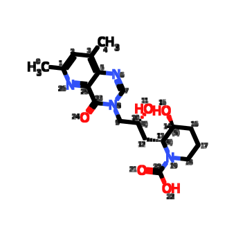 Cc1cc(C)c2ncn(C[C@H](O)C[C@@H]3[C@@H](O)CCCN3C(=O)O)c(=O)c2n1